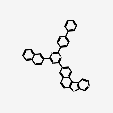 c1ccc(-c2ccc(-c3nc(-c4ccc5ccccc5c4)nc(-c4ccc5c(ccc6oc7cnccc7c65)c4)n3)cc2)cc1